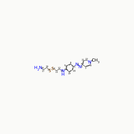 CN1C=CC(N=Nc2ccc(NCCSSCCN)cc2)=CC1